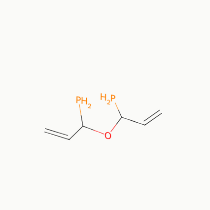 C=CC(P)OC(P)C=C